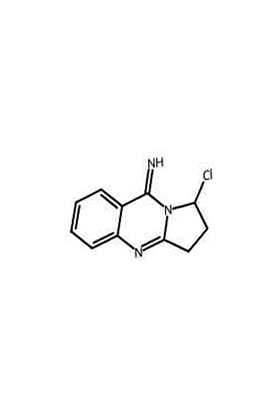 N=c1c2ccccc2nc2n1C(Cl)CC2